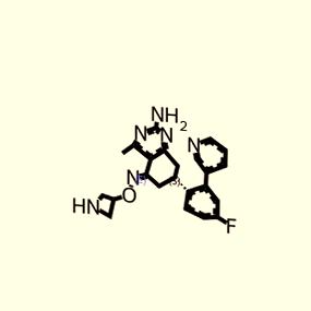 Cc1nc(N)nc2c1/C(=N/OC1CNC1)C[C@@H](c1ccc(F)cc1-c1cccnc1)C2